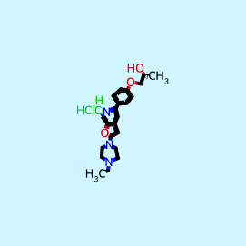 CCN1CCN(c2cc3cc(-c4ccc(OC[C@@H](C)O)cc4)ncc3o2)CC1.Cl.Cl